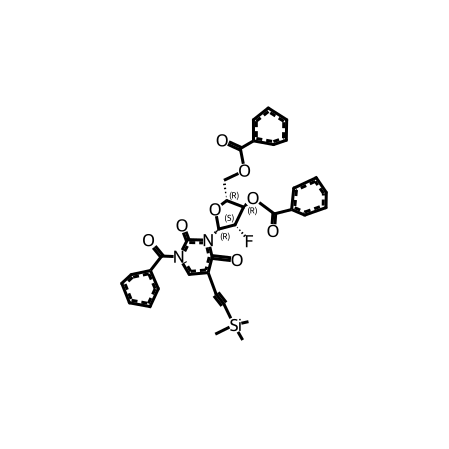 C[Si](C)(C)C#Cc1cn(C(=O)c2ccccc2)c(=O)n([C@@H]2O[C@H](COC(=O)c3ccccc3)[C@@H](OC(=O)c3ccccc3)[C@@H]2F)c1=O